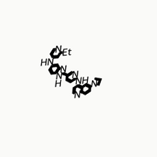 CCc1cc(Nc2ccc3[nH]c(-c4ccc(Nc5ccnc6ccc(N7CCC7)cc56)nc4)nc3c2)ccn1